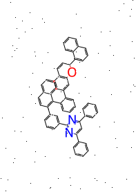 C1=CC(c2cccc3ccccc23)Oc2cc(-c3ccccc3-c3c(-c4cccc(-c5nc(-c6ccccc6)cc(-c6ccccc6)n5)c4)ccc4ccccc34)ccc21